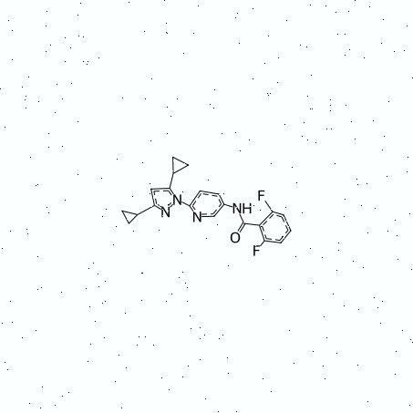 O=C(Nc1ccc(-n2nc(C3CC3)cc2C2CC2)nc1)c1c(F)cccc1F